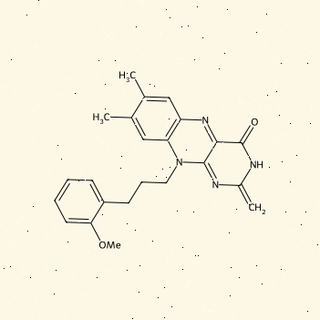 C=c1nc2c(c(=O)[nH]1)=Nc1cc(C)c(C)cc1N2CCCc1ccccc1OC